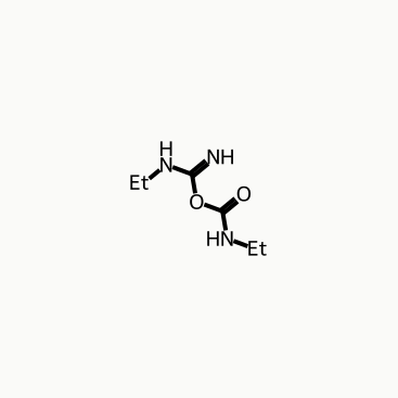 CCNC(=N)OC(=O)NCC